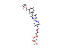 CC(C)(C)[Si](C)(C)OCc1cccc(-c2cnc(N3CCC(=NOCCOC(=O)NS(C)(=O)=O)CC3)nc2)c1F